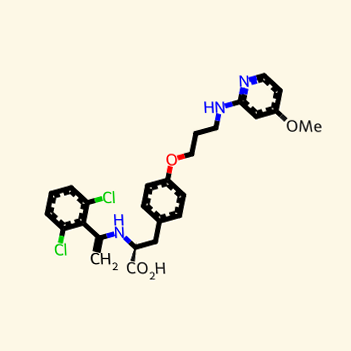 C=C(N[C@@H](Cc1ccc(OCCCNc2cc(OC)ccn2)cc1)C(=O)O)c1c(Cl)cccc1Cl